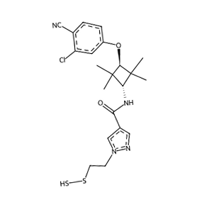 CC1(C)[C@H](NC(=O)c2cnn(CCSS)c2)C(C)(C)[C@H]1Oc1ccc(C#N)c(Cl)c1